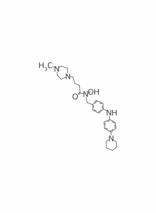 CN1CCN(CCCC(=O)N(O)Cc2ccc(Nc3ccc(N4CCCCC4)cc3)cc2)CC1